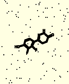 O=C1CCC(c2ccc(O)c(F)c2F)=NN1